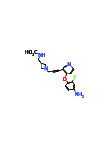 Nc1ccc(Oc2ccncc2C#CCN2CC(CNC(=O)O)C2)c(F)c1